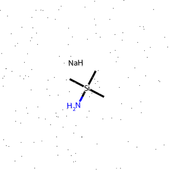 C[Si](C)(C)N.[NaH]